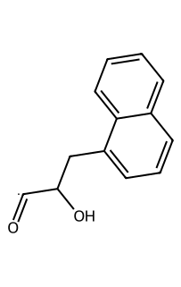 O=[C]C(O)Cc1cccc2ccccc12